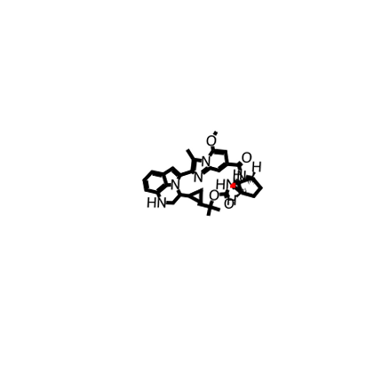 COc1cc(C(=O)N2C[C@H]3CC[C@@H]2[C@@H]3NC(=O)OC(C)(C)C)cc2nc(-c3cc4cccc5c4n3C(C3CC3)CN5)c(C)n12